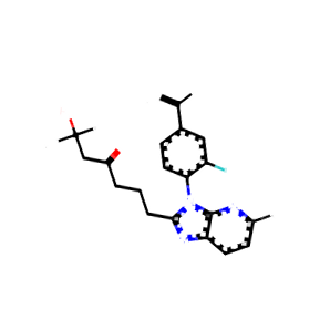 C=C(C)c1ccc(-n2c(CCCC(=O)CC(C)(C)O)nc3ccc(C(F)(F)F)nc32)c(F)c1